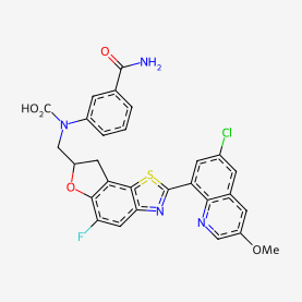 COc1cnc2c(-c3nc4cc(F)c5c(c4s3)CC(CN(C(=O)O)c3cccc(C(N)=O)c3)O5)cc(Cl)cc2c1